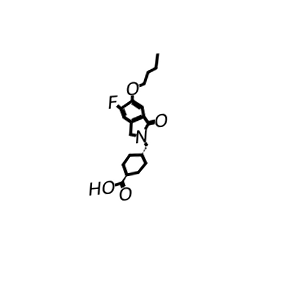 CCCCOc1cc2c(cc1F)CN(C[C@H]1CC[C@H](C(=O)O)CC1)C2=O